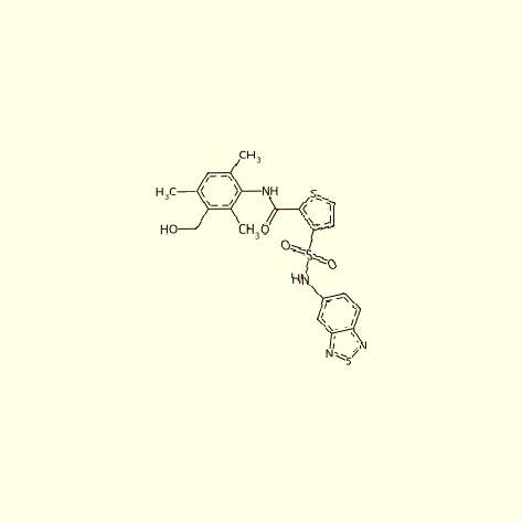 Cc1cc(C)c(NC(=O)c2sccc2S(=O)(=O)Nc2ccc3nsnc3c2)c(C)c1CO